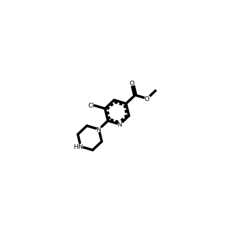 COC(=O)c1cnc(N2CCNCC2)c(Cl)c1